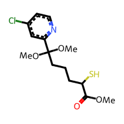 COC(=O)C(S)CCCC(OC)(OC)c1cc(Cl)ccn1